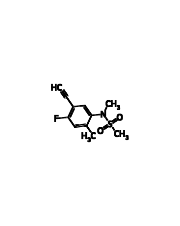 C#Cc1cc(N(C)S(C)(=O)=O)c(C)cc1F